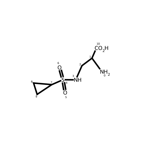 NC(CNS(=O)(=O)C1CC1)C(=O)O